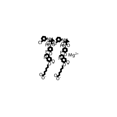 COc1cc2c(Oc3ccc(NC(=O)C4(C(=O)Nc5cccc(Cl)c5)CC4)cc3F)ccnc2cc1OCCCCCCC(=O)[O-].COc1cc2c(Oc3ccc(NC(=O)C4(C(=O)Nc5cccc(Cl)c5)CC4)cc3F)ccnc2cc1OCCCCCCC(=O)[O-].[Mg+2]